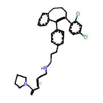 C=C(/C=C/CNCCCc1ccc(C2=C(c3ccc(Cl)cc3Cl)CCCc3ccccc32)cc1)N1CCCC1